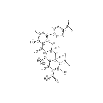 Cc1cc(-c2ccc(N(C)C)cc2)c2c(c1O)C(=O)C1=C(O)[C@]3(O)C(=O)C(C(N)=O)=C(O)[C@@H](N(C)C)[C@@H]3C[C@@H]1C2